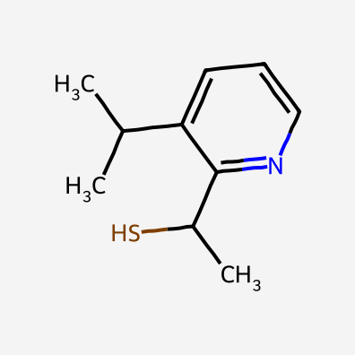 CC(C)c1cccnc1C(C)S